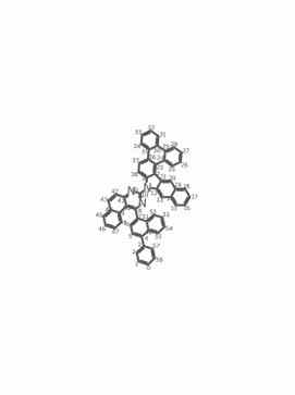 c1ccc(-c2ccc(-c3nc(-n4c5cc6ccccc6cc5c5c6c7ccccc7c7ccccc7c6ccc54)nc4ccc5ccccc5c34)c3ccccc23)cc1